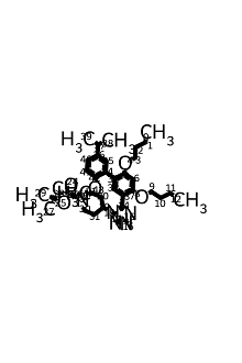 CCCCOc1cc(OCCCC)c(-c2nnnn2C2CCN(C(=O)OC(C)(C)C)CC2)cc1-c1cc(C(C)C)ccc1OC